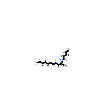 CCCCCCCCCC(C)[N]CCCCC